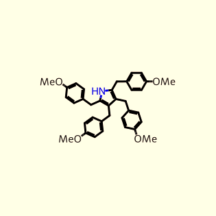 COc1ccc(Cc2[nH]c(Cc3ccc(OC)cc3)c(Cc3ccc(OC)cc3)c2Cc2ccc(OC)cc2)cc1